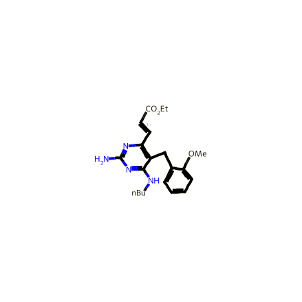 CCCCNc1nc(N)nc(/C=C/C(=O)OCC)c1Cc1ccccc1OC